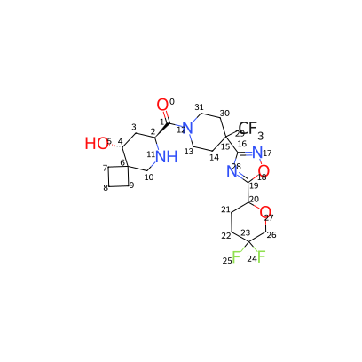 O=C([C@@H]1C[C@@H](O)C2(CCC2)CN1)N1CCC(c2noc(C3CCC(F)(F)CO3)n2)(C(F)(F)F)CC1